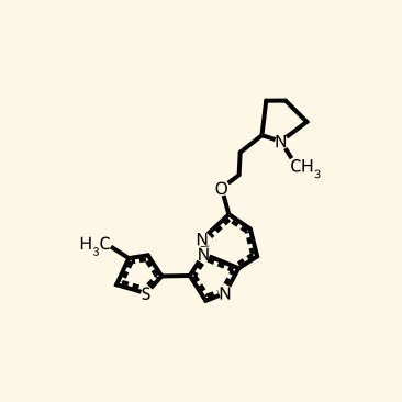 Cc1csc(-c2cnc3ccc(OCCC4CCCN4C)nn23)c1